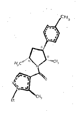 CCn1ncc(C(=O)N2[C@H](C)C[C@@H](c3ccc(C)cc3)[C@@H]2C)c1C